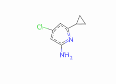 Nc1cc(Cl)cc(C2CC2)n1